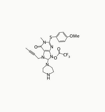 CC#CCN1c2c(nc(Sc3ccc(OC)cc3)n(C)c2=O)N(OC(=O)C(F)(F)F)C1N1CCNCC1